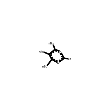 [CH2]Cc1nc(CCCC)c(CCCC)c(CCCC)n1